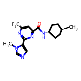 Cn1cncc1-c1nc(C(=O)N[C@H]2CC[C@H](C)CC2)cc(C(F)(F)F)n1